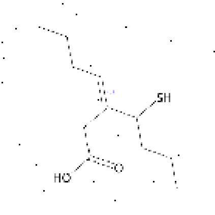 CCC/C=C(\CC(=O)O)C(S)CCC